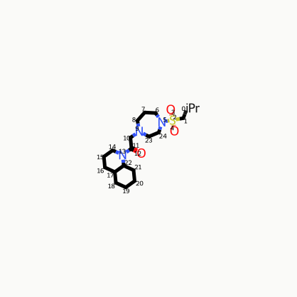 CC(C)CS(=O)(=O)N1CCCN(CC(=O)N2CCCC3CCCCC32)CC1